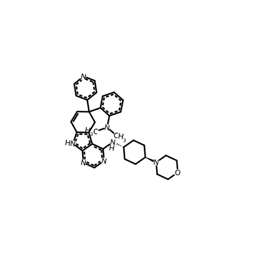 CN(C)c1ccccc1C1(c2ccncc2)C=Cc2[nH]c3ncnc(N[C@H]4CC[C@H](N5CCOCC5)CC4)c3c2C1